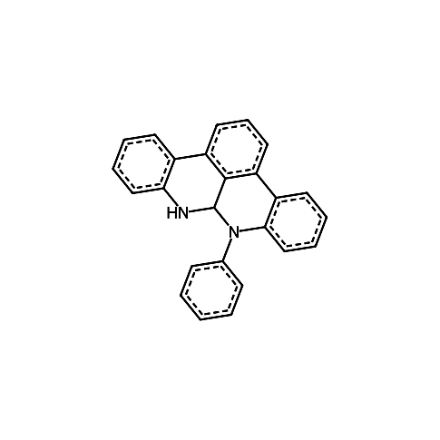 c1ccc(N2c3ccccc3-c3cccc4c3C2Nc2ccccc2-4)cc1